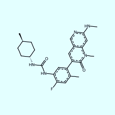 CNc1cc2c(cn1)cc(-c1cc(NC(=O)N[C@H]3CC[C@H](C)CC3)c(F)cc1C)c(=O)n2C